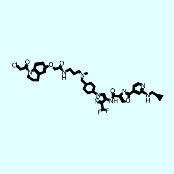 CN(CCCNC(=O)COc1ccc2c(c1)CCCN2C(=O)CCl)CC1CCC(n2cc(NC(=O)c3coc(-c4ccnc(NCC5CC5)c4)n3)c(C(F)F)n2)CC1